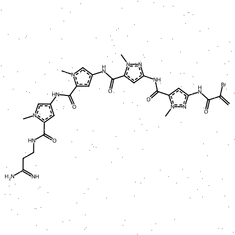 C=C(Br)C(=O)Nc1cc(C(=O)Nc2cc(C(=O)Nc3cc(C(=O)Nc4cc(C(=O)NCCC(=N)N)n(C)c4)n(C)c3)n(C)n2)n(C)n1